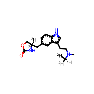 [2H]C([2H])([2H])N(C)CCc1c[nH]c2ccc(C[C@@]3([2H])COC(=O)N3)cc12